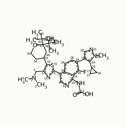 CN(C)Cc1nc(-c2cnc(NC(=O)O)c3c(F)c(-c4cnn(C)c4C4CC4)ccc23)sc1C1CCOC(C(C)(C)C)(C(C)(C)C)C1